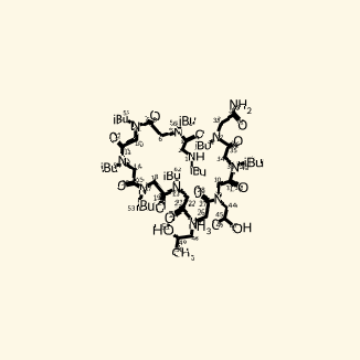 CCC(C)NCC(=O)N(CC(=O)N(CC(=O)N(CC(=O)N(CC(=O)N(CC(=O)N(CC(=O)N(CC(=O)N(CC(=O)N(CC(N)=O)C(C)CC)C(C)CC)CC(C)O)CC(C)O)C(C)CC)C(C)CC)C(C)CC)C(C)CC)C(C)CC